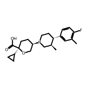 Cc1cc([C@H]2CCN([C@@H]3CC[C@@](C(=O)O)(C4CC4)OC3)C[C@@H]2C)ccc1F